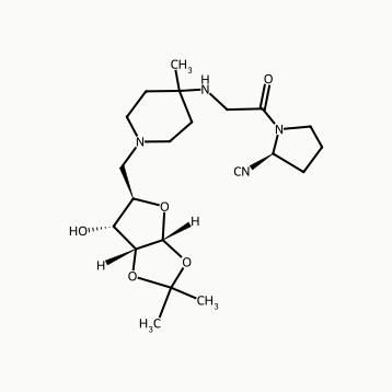 [C-]#[N+][C@@H]1CCCN1C(=O)CNC1(C)CCN(C[C@H]2O[C@@H]3OC(C)(C)O[C@@H]3[C@@H]2O)CC1